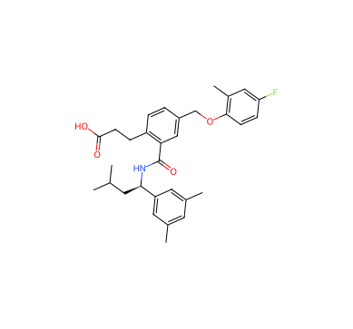 Cc1cc(C)cc([C@@H](CC(C)C)NC(=O)c2cc(COc3ccc(F)cc3C)ccc2CCC(=O)O)c1